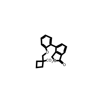 O=C1OCc2c1cccc2-c1ccccc1OCC1(C(=O)O)CCC1